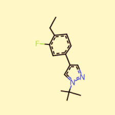 CCc1ccc(-c2cnn(C(C)(C)C)c2)cc1F